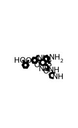 Cc1cc(Oc2ccccc2O)ccc1C1(N)C(=O)C(N)c2c(C(=O)NC3CCCNC3)sc3c(N)ccc1c23